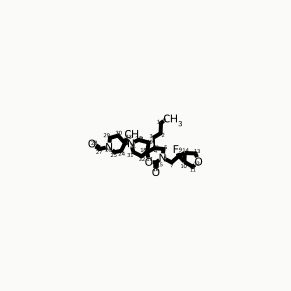 CCCC[C@H]1CN(CC2(F)C3COCC32)C(=O)OC12CCN(C1(C)CCN(C=O)CC1)CC2